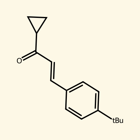 CC(C)(C)c1ccc(C=CC(=O)C2CC2)cc1